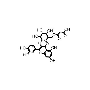 O=C(O)CC(=O)OCC1O[C@@H](Oc2c(-c3ccc(O)c(O)c3)oc3cc(O)cc(O)c3c2=O)C(O)[C@H](O)[C@@H]1O